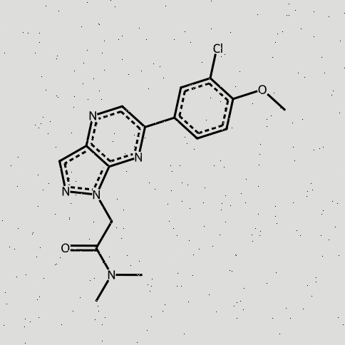 COc1ccc(-c2cnc3cnn(CC(=O)N(C)C)c3n2)cc1Cl